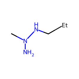 CCCNN(C)N